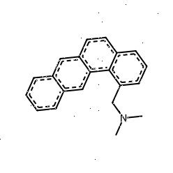 CN(C)Cc1cccc2ccc3cc4ccccc4cc3c12